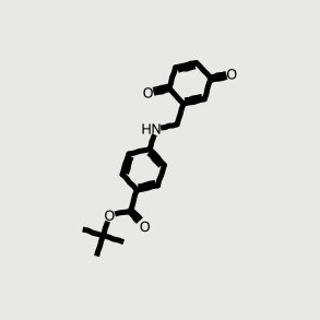 CC(C)(C)OC(=O)c1ccc(NCC2=CC(=O)C=CC2=O)cc1